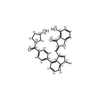 Cn1cc(C=C2Oc3cccc(O)c3C2=O)c2c(-c3ccc(C(=O)N4CCC(O)C4)cc3)ccnc21